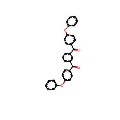 O=C(c1ccc(Oc2ccccc2)cc1)c1cccc(C(=O)c2ccc(Oc3ccccc3)cc2)c1